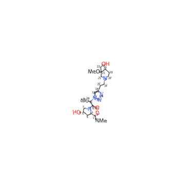 CNC(=O)[C@H]1C[C@H](O)CN1C(=O)[C@H](n1cc(CCN2CCCC(CO)(OC)C2)nn1)C(C)(C)C